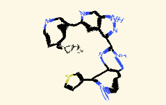 Cc1ccncc1-c1cc2c(-c3nc4c(-c5ccsc5)nccc4[nH]3)n[nH]c2cn1